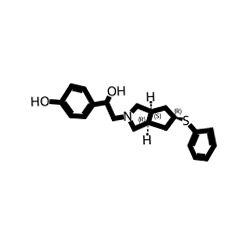 Oc1ccc(C(O)CN2C[C@H]3C[C@@H](Sc4ccccc4)C[C@H]3C2)cc1